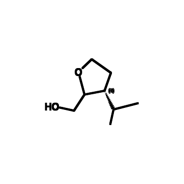 CC(C)[C@H]1CCOC1CO